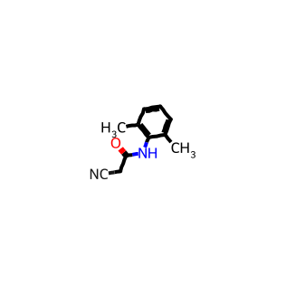 Cc1cccc(C)c1NC(=O)CC#N